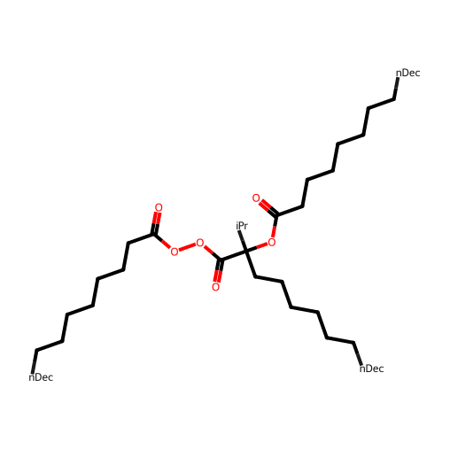 CCCCCCCCCCCCCCCCCC(=O)OOC(=O)C(CCCCCCCCCCCCCCCC)(OC(=O)CCCCCCCCCCCCCCCCC)C(C)C